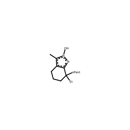 CCCCCC1(CC)CCCc2c1nn(O)c2C